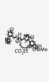 CCOC(=O)[C@@H]1CCCCC(NC(=O)/C=C/c2cc(Cl)ccc2-n2cnnn2)c2cc(c(Cl)nn2)-c2ccc(NC(=O)OC)cc2N1